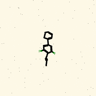 CC#Cc1c(F)cc(C2=CC=CCC2)cc1F